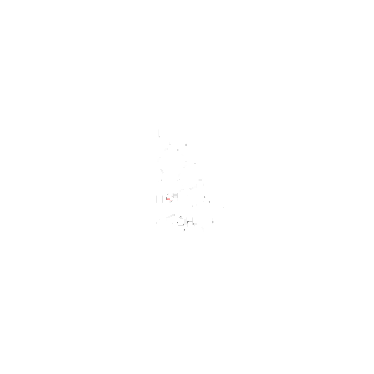 NC(P(=O)(O)O)(P(=O)(O)O)S(=O)(=O)c1ccc(Cl)cc1